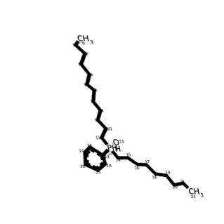 CCCCCCCCCCCC[PH](O)(CCCCCCCCC)c1ccccc1